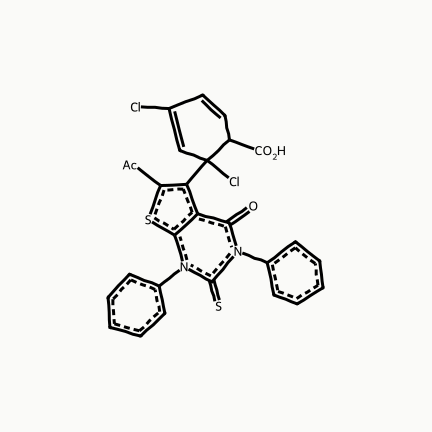 CC(=O)c1sc2c(c1C1(Cl)C=C(Cl)C=CC1C(=O)O)c(=O)n(-c1ccccc1)c(=S)n2-c1ccccc1